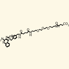 CCCCc1nc2c(N)nc3ccccc3c2n1Cc1ccc(CNC(=O)CCCC(=O)NCCCOCCOCCOCCCNC(=O)CCCC(=O)O)cc1